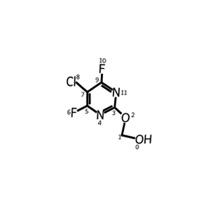 OCOc1nc(F)c(Cl)c(F)n1